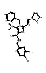 CN(C)c1c(C(=O)NCc2ccc(F)c(F)c2)cc(/C=C/C2CCCO2)n1Cc1ccccc1